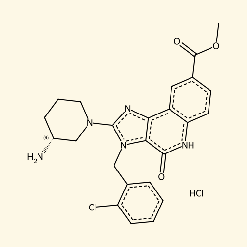 COC(=O)c1ccc2[nH]c(=O)c3c(nc(N4CCC[C@@H](N)C4)n3Cc3ccccc3Cl)c2c1.Cl